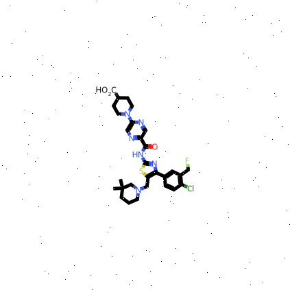 CC1(C)CCCN(Cc2sc(NC(=O)c3cnc(N4CCC(C(=O)O)CC4)cn3)nc2-c2ccc(Cl)c(CF)c2)C1